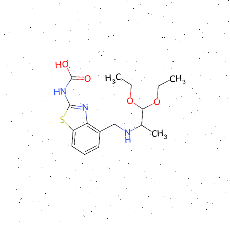 CCOC(OCC)C(C)NCc1cccc2sc(NC(=O)O)nc12